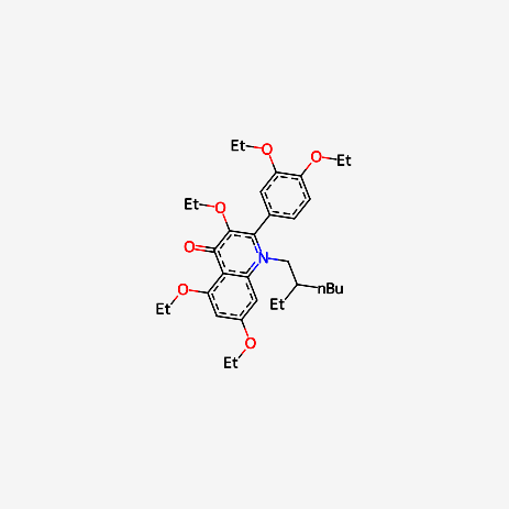 CCCCC(CC)Cn1c(-c2ccc(OCC)c(OCC)c2)c(OCC)c(=O)c2c(OCC)cc(OCC)cc21